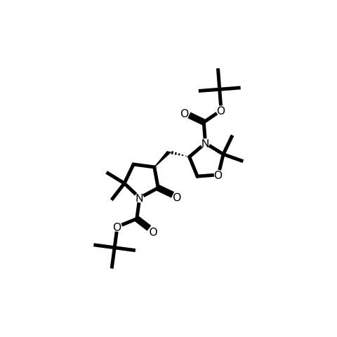 CC(C)(C)OC(=O)N1C(=O)[C@H](C[C@H]2COC(C)(C)N2C(=O)OC(C)(C)C)CC1(C)C